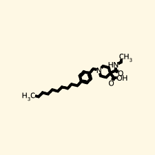 CCCCCCCCCCc1ccc(CN2CCC(C(=O)O)(C(=O)NCC)CC2)cc1